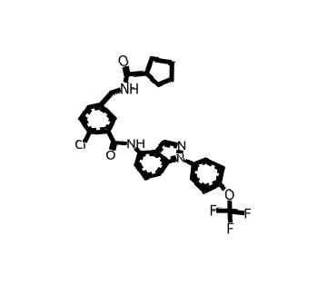 O=C(Nc1cccc2c1cnn2-c1ccc(OC(F)(F)F)cc1)c1cc(CNC(=O)C2CCCC2)ccc1Cl